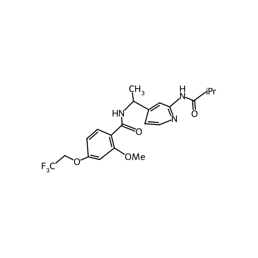 COc1cc(OCC(F)(F)F)ccc1C(=O)NC(C)c1ccnc(NC(=O)C(C)C)c1